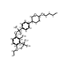 CCCCOC1CCC(c2ccc(C(F)(F)Oc3ccc(OCC)c(C(F)(F)F)c3F)cc2)CO1